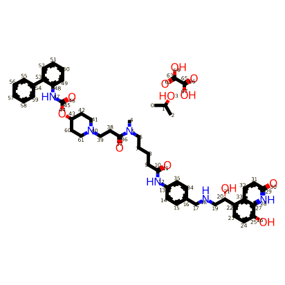 CC(C)O.CN(CCCCC(=O)Nc1ccc(CNC[C@H](O)c2ccc(O)c3[nH]c(=O)ccc23)cc1)C(=O)CCN1CCC(OC(=O)Nc2ccccc2-c2ccccc2)CC1.O=C(O)C(=O)O